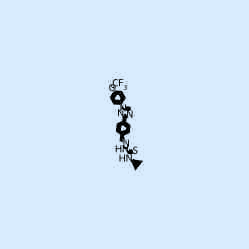 FC(F)(F)Oc1ccc(-n2cnc(-c3ccc(/C=N/NC(=S)NC4CC4)cc3)n2)cc1